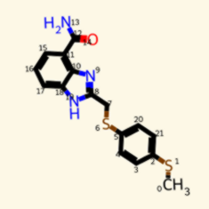 CSc1ccc(SCc2nc3c(C(N)=O)cccc3[nH]2)cc1